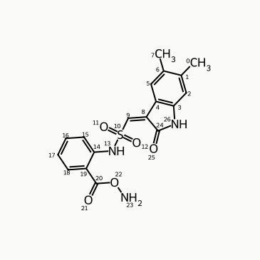 Cc1cc2c(cc1C)/C(=C/S(=O)(=O)Nc1ccccc1C(=O)ON)C(=O)N2